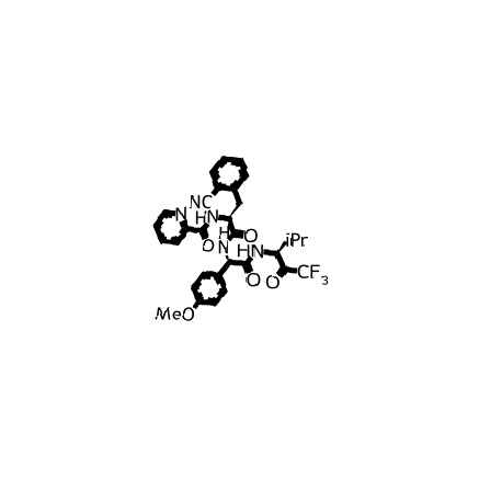 COc1ccc([C@H](NC(=O)[C@H](Cc2ccccc2C#N)NC(=O)c2ccccn2)C(=O)N[C@H](C(=O)C(F)(F)F)C(C)C)cc1